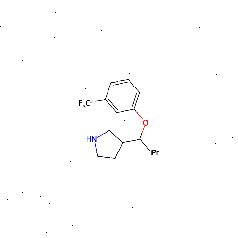 CC(C)C(Oc1cccc(C(F)(F)F)c1)C1CCNC1